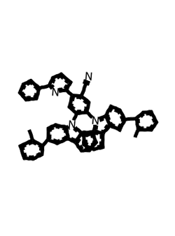 Cc1ccccc1-c1ccc2c(c1)c1ccccc1n2-c1cc(C#N)c(-c2cccc(-c3ccccc3)n2)cc1-n1c2ccccc2c2cc(-c3ccccc3C)ccc21